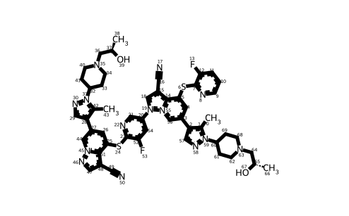 Cc1c(-c2cc(Sc3ncccc3F)c3c(C#N)c[n+](-c4cnc(Sc5cc(-c6cnn(C7CCN(C[C@@H](C)O)CC7)c6C)cn6ncc(C#N)c56)c(F)c4)n3c2)cnn1C1CCN(C[C@H](C)O)CC1